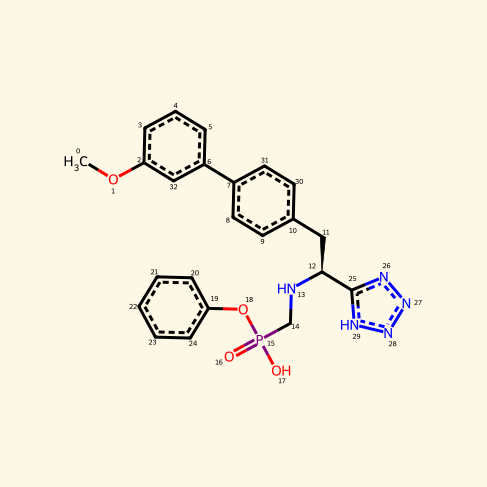 COc1cccc(-c2ccc(C[C@H](NCP(=O)(O)Oc3ccccc3)c3nnn[nH]3)cc2)c1